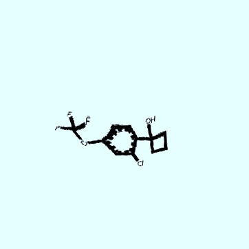 OC1(c2ccc(OC(F)(F)F)cc2Cl)CCC1